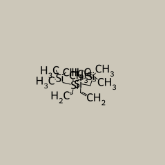 C=C[Si](C)(C[Si](C)(C)C)[Si](C)(C=C)C[Si](C)(C)C